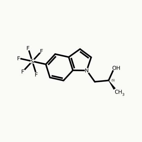 C[C@H](O)Cn1ccc2cc(S(F)(F)(F)(F)F)ccc21